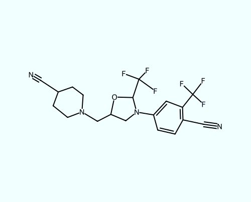 N#Cc1ccc(N2CC(CN3CCC(C#N)CC3)OC2C(F)(F)F)cc1C(F)(F)F